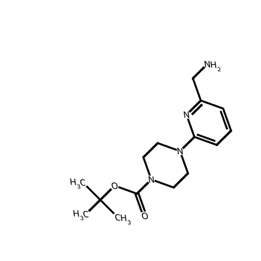 CC(C)(C)OC(=O)N1CCN(c2cccc(CN)n2)CC1